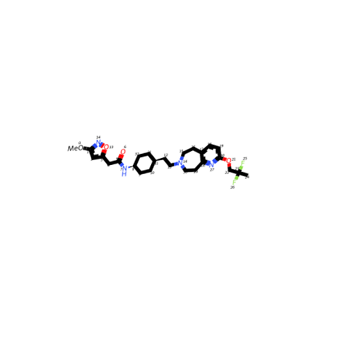 COc1cc(CC(=O)N[C@H]2CC[C@H](CCN3CCc4ccc(OCC(C)(F)F)nc4CC3)CC2)on1